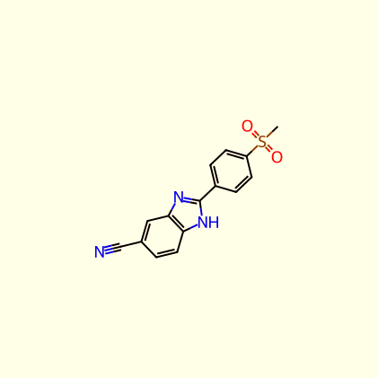 CS(=O)(=O)c1ccc(-c2nc3cc(C#N)ccc3[nH]2)cc1